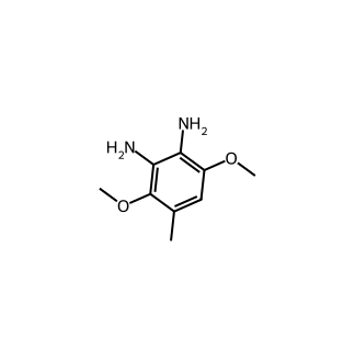 COc1cc(C)c(OC)c(N)c1N